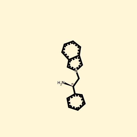 N[C@@H](Cn1cc2ccccc2c1)c1ccccc1